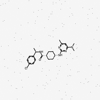 Cc1cc(N(C)C)nc(N[C@H]2CC[C@@H](C(=O)NC(C)c3ccc(Cl)cc3)CC2)n1